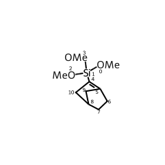 CO[Si](OC)(OC)C1=C2CCC(C2)C1